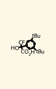 CC(C)(C)c1cc(C(C)(C)C)cc(C(O)(C(=O)O)C(F)(F)F)c1